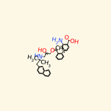 C[C@@H](OC[C@H](O)CNC(C)(C)Cc1ccc2ccccc2c1)c1ccccc1-c1ccc(C(=O)O)c(N)c1